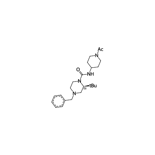 CC(=O)N1CCC(NC(=O)N2CCN(Cc3ccccc3)C[C@@H]2C(C)(C)C)CC1